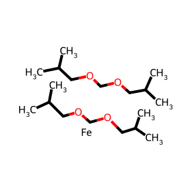 CC(C)COCOCC(C)C.CC(C)COCOCC(C)C.[Fe]